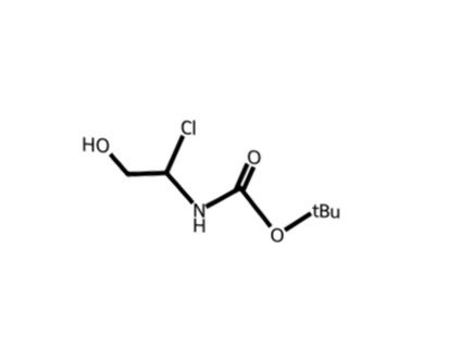 CC(C)(C)OC(=O)NC(Cl)CO